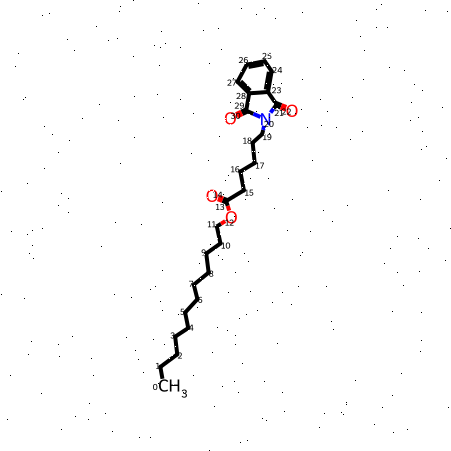 CCCCCCCCCCCCOC(=O)CCCCCN1C(=O)c2ccccc2C1=O